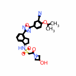 CC(C)Oc1ccc(-c2nc(-c3cccc4c3CC[C@@H]4NS(=O)(=O)CC(=O)N3CC(O)C3)no2)cc1C#N